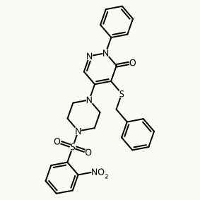 O=c1c(SCc2ccccc2)c(N2CCN(S(=O)(=O)c3ccccc3[N+](=O)[O-])CC2)cnn1-c1ccccc1